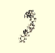 O=S(=O)(Nc1cccc(N2CCN(Cc3cn(-c4ccccc4)nn3)CC2)c1)C(F)(F)F